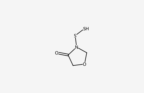 O=C1COCN1SS